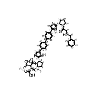 CC(C)[C@@H](C(=O)N1CCC[C@H]1c1ncc(-c2ccc(-c3ccc(-c4cnc([C@@H]5CCCN5C(=O)CNCc5ccccc5)[nH]4)cc3)cc2)[nH]1)N(C)C(=O)O